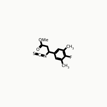 COC(=O)CC(N=C=S)c1cc(C)c(F)c(C)c1